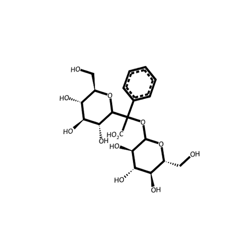 O=C(O)C(OC1O[C@H](CO)[C@@H](O)[C@H](O)[C@H]1O)(c1ccccc1)C1O[C@H](CO)[C@@H](O)[C@H](O)[C@H]1O